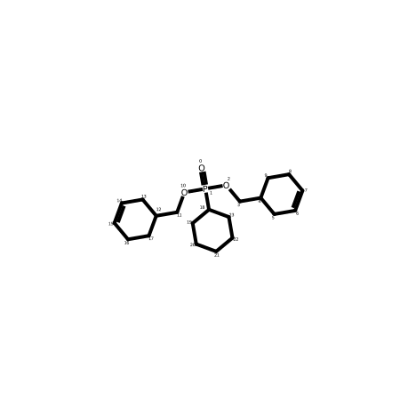 O=P(OCC1CC=CCC1)(OCC1CC=CCC1)C1CCCCC1